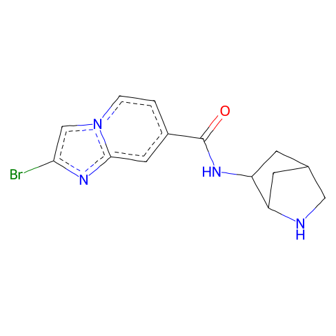 O=C(NC1CC2CNC1C2)c1ccn2cc(Br)nc2c1